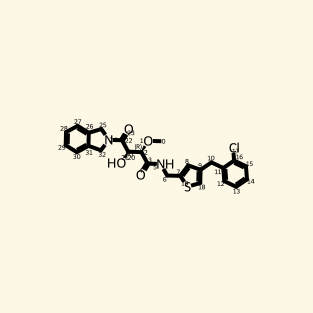 CO[C@@H](C(=O)NCc1cc(Cc2ccccc2Cl)cs1)[C@@H](O)C(=O)N1Cc2ccccc2C1